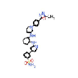 Cc1nnc(-c2ccc(N3CCC[C@H](N[C@@H]4CCCC[C@H]4Nc4cc(-c5cccc(S(N)(=O)=O)c5)ccn4)C3)cc2)o1